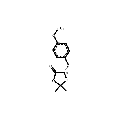 CCCCOc1ccc(C[C@@H]2OC(C)(C)OC2=O)cc1